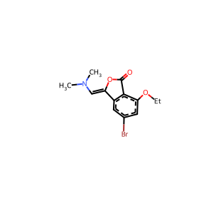 CCOc1cc(Br)cc2c1C(=O)OC2=CN(C)C